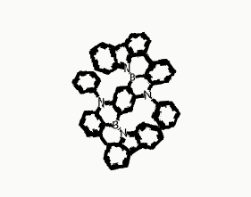 c1ccc(N2c3cc4c(cc3B3c5c(cccc52)-c2cccc5c6ccccc6n3c25)N(c2ccccc2)c2cccc3c2B4n2c4ccccc4c4cccc-3c42)cc1